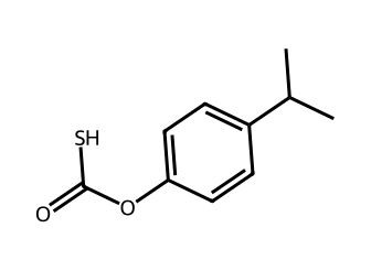 CC(C)c1ccc(OC(=O)S)cc1